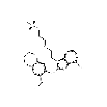 N#CCc1cc2c(cc1Sc1nc3c(N)ncnc3n1CCNCCNS(N)(=O)=O)OCCO2